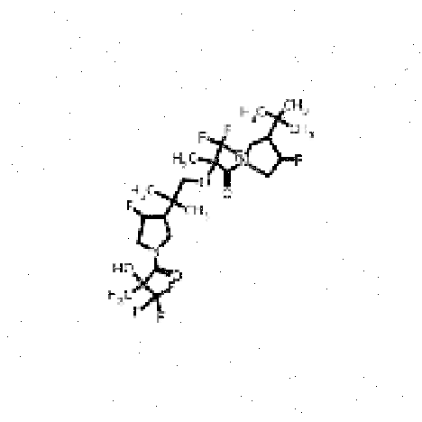 CC(C)(C)C1CN(C(=O)C(C)(OCC(C)(C)C2CN(C(=O)C(C)(O)C(F)(F)F)CC2F)C(F)(F)F)CC1F